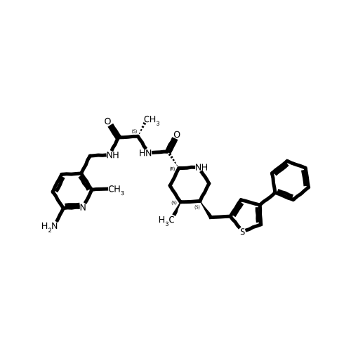 Cc1nc(N)ccc1CNC(=O)[C@H](C)NC(=O)[C@H]1C[C@H](C)[C@H](Cc2cc(-c3ccccc3)cs2)CN1